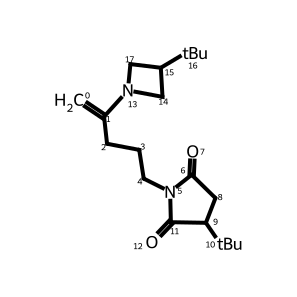 C=C(CCCN1C(=O)CC(C(C)(C)C)C1=O)N1CC(C(C)(C)C)C1